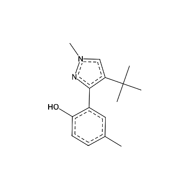 Cc1ccc(O)c(-c2nn(C)cc2C(C)(C)C)c1